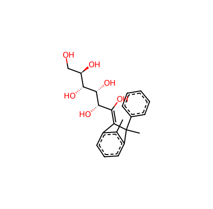 Cc1c2cccc1C(C)(c1ccccc1)C2=C(O)[C@H](O)[C@@H](O)[C@H](O)[C@H](O)CO